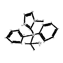 CCC(C)(C)[Si](c1ccccc1)(c1ccccc1)c1nccn1C